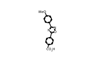 COc1ccc(-c2noc(-c3ccc(C(=O)O)cc3)n2)cc1